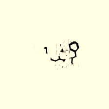 C=CCOC(=O)CC(NC(=O)OCCCC)C(=O)NC(Cc1ccccc1)C(=O)OC